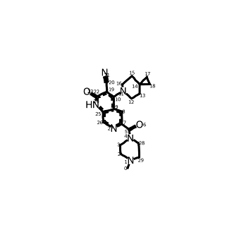 CN1CCN(C(=O)c2cc3c(N4CCC5(CC4)CC5)c(C#N)c(=O)[nH]c3cn2)CC1